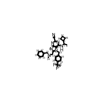 CC(Nc1nc(C#N)nc2nc(CN(C)Cc3ccccc3)n(Cc3ccc(C(F)(F)F)cc3)c12)C1CCC1